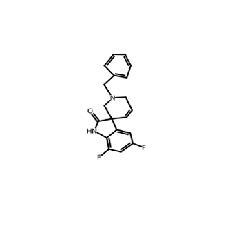 O=C1Nc2c(F)cc(F)cc2C12C=CCN(Cc1ccccc1)C2